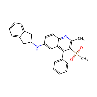 Cc1nc2ccc(NC3Cc4ccccc4C3)cc2c(-c2ccccc2)c1S(C)(=O)=O